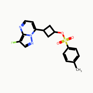 Cc1ccc(S(=O)(=O)OC2CC(c3ccnc4c(F)cnn34)C2)cc1